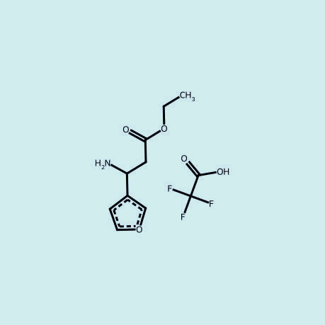 CCOC(=O)CC(N)c1ccoc1.O=C(O)C(F)(F)F